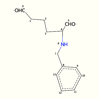 O=[C]CCCC([C]=O)NCc1ccccc1